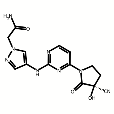 N#C[C@@]1(O)CCN(c2ccnc(Nc3cnn(CC(N)=O)c3)n2)C1=O